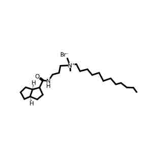 CCCCCCCCCCCC[N+](C)(C)CCCNC(=O)C1CC[C@H]2CCC[C@@H]12.[Br-]